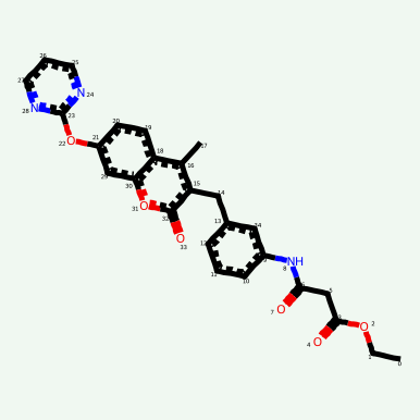 CCOC(=O)CC(=O)Nc1cccc(Cc2c(C)c3ccc(Oc4ncccn4)cc3oc2=O)c1